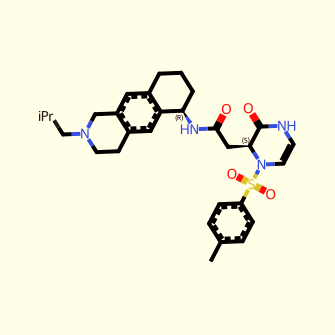 Cc1ccc(S(=O)(=O)N2C=CNC(=O)[C@@H]2CC(=O)N[C@@H]2CCCc3cc4c(cc32)CCN(CC(C)C)C4)cc1